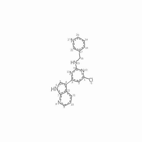 Clc1cc(-c2c[nH]c3ncccc23)nc(NCc2cccnc2)n1